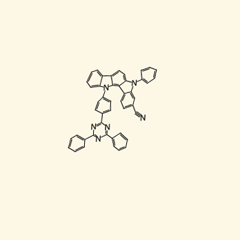 N#Cc1ccc2c3c(ccc4c5ccccc5n(-c5ccc(-c6nc(-c7ccccc7)nc(-c7ccccc7)n6)cc5)c43)n(-c3ccccc3)c2c1